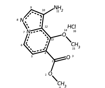 COC(=O)c1ccn2ncc(N)c2c1OC.Cl